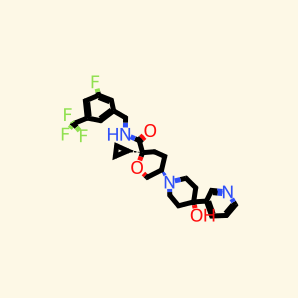 O=C(NCc1cc(F)cc(C(F)(F)F)c1)[C@@]1(C2CC2)CC[C@@H](N2CCC(O)(c3cccnc3)CC2)CO1